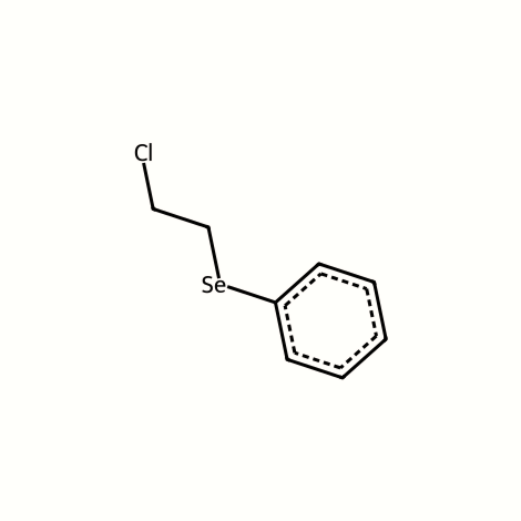 ClCC[Se]c1ccccc1